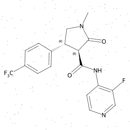 CN1C[C@@H](c2ccc(C(F)(F)F)cc2)[C@H](C(=O)Nc2ccncc2F)C1=O